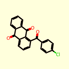 O=C(c1ccc(Cl)cc1)c1cccc2c1C(=O)c1ccccc1C2=O